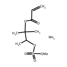 C=CC(=O)OC(C)(C)C(C)OS(=O)(=O)OC.N